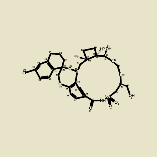 O=C1NS(=O)(=O)C[C@H](CO)CCC[C@H](O)[C@@H]2CC[C@H]2CN2C[C@@]3(CCCc4cc(Cl)ccc43)COc3ccc1cc32